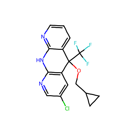 FC(F)(F)C1(OCC2CC2)c2cccnc2Nc2ncc(Cl)cc21